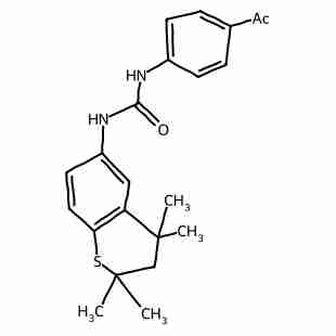 CC(=O)c1ccc(NC(=O)Nc2ccc3c(c2)C(C)(C)CC(C)(C)S3)cc1